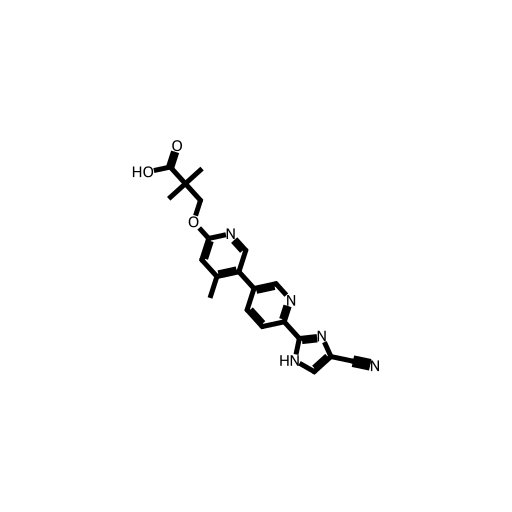 Cc1cc(OCC(C)(C)C(=O)O)ncc1-c1ccc(-c2nc(C#N)c[nH]2)nc1